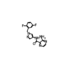 Nc1nccnc1C(=O)Nc1cnn(Cc2cc(F)ccc2F)c1